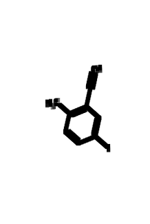 C#Cc1cc(I)ccc1C